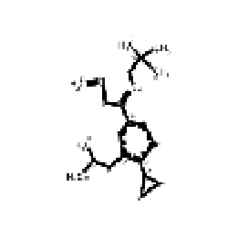 C=NC/C(=N\CC(C)(C)C)c1ccc(C2CC2)c(CC(C)C)c1